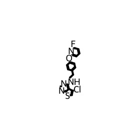 Fc1cccc(Oc2ccc(CCNc3ncnc4scc(Cl)c34)cc2)n1